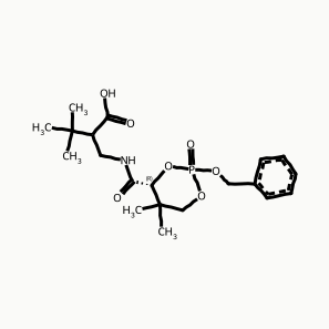 CC(C)(C)C(CNC(=O)[C@@H]1OP(=O)(OCc2ccccc2)OCC1(C)C)C(=O)O